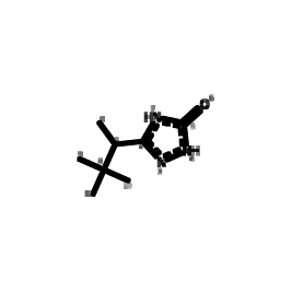 CC(c1n[nH]c(=O)[nH]1)C(C)(C)C